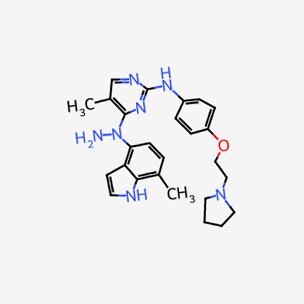 Cc1cnc(Nc2ccc(OCCN3CCCC3)cc2)nc1N(N)c1ccc(C)c2[nH]ccc12